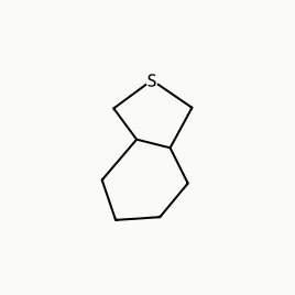 C1CCC2CSCC2C1